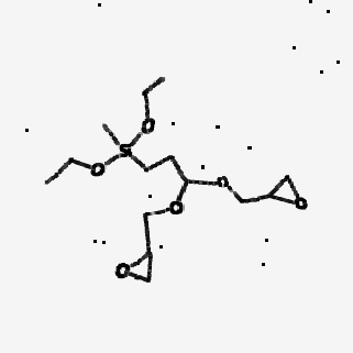 CCO[Si](C)(CCC(OCC1CO1)OCC1CO1)OCC